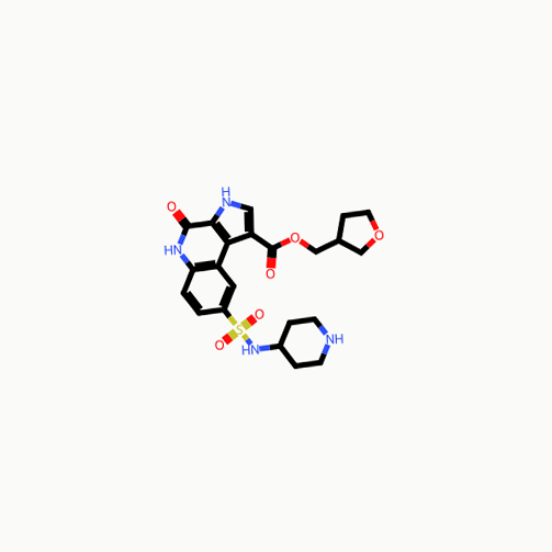 O=C(OCC1CCOC1)c1c[nH]c2c(=O)[nH]c3ccc(S(=O)(=O)NC4CCNCC4)cc3c12